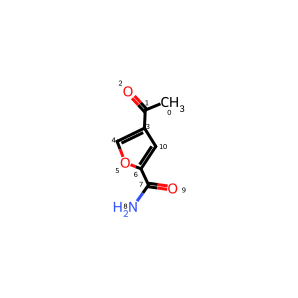 CC(=O)c1coc(C(N)=O)c1